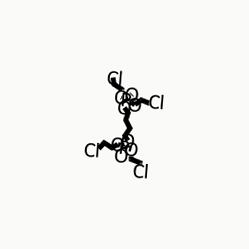 O=P(OCCCl)(OCCCl)OCCCCOP(=O)(OCCCl)OCCCl